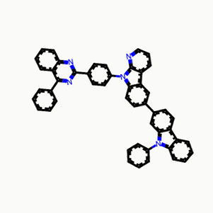 c1ccc(-c2nc(-c3ccc(-n4c5ccc(-c6ccc7c8ccccc8n(-c8ccccc8)c7c6)cc5c5cccnc54)cc3)nc3ccccc23)cc1